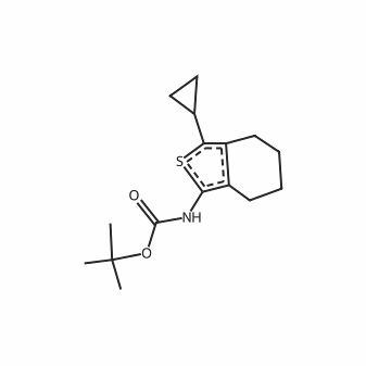 CC(C)(C)OC(=O)Nc1sc(C2CC2)c2c1CCCC2